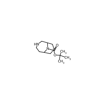 CC(C)(C)OC(=O)N1C2CCNCC1COC2